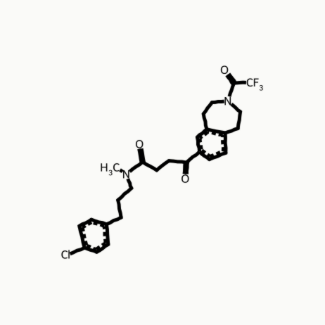 CN(CCCc1ccc(Cl)cc1)C(=O)CCC(=O)c1ccc2c(c1)CCN(C(=O)C(F)(F)F)CC2